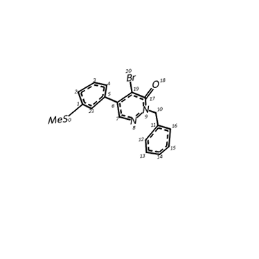 CSc1cccc(-c2cnn(Cc3ccccc3)c(=O)c2Br)c1